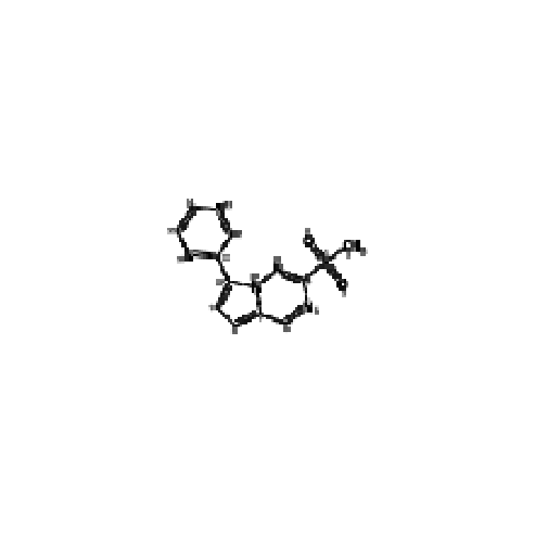 CS(=O)(=O)c1ncc2ccc(-c3cnccn3)n2n1